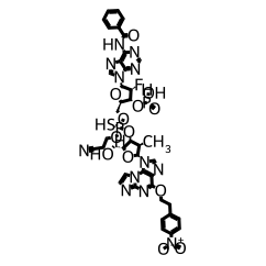 C[C@@H]1[C@H](O[PH](S)(OCCC#N)OC[C@H]2O[C@@H](n3cnc4c(NC(=O)c5ccccc5)ncnc43)[C@H](F)[C@@H]2O[PH](=O)O)[C@@H](CO)O[C@H]1n1cnc2c(OCCc3ccc([N+](=O)[O-])cc3)nc3nccn3c21